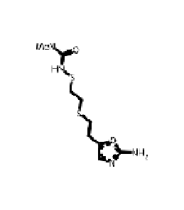 CNC(=O)NSCCSCCc1cnc(N)o1